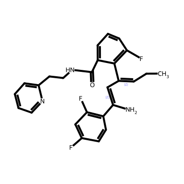 CC/C=C(/C=C(\N)c1ccc(F)cc1F)c1c(F)cccc1C(=O)NCCc1ccccn1